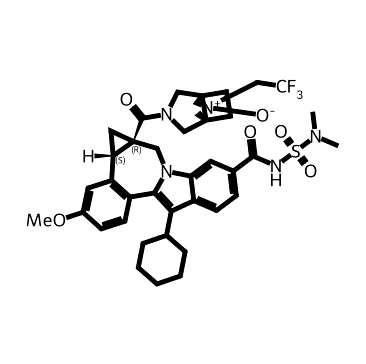 COc1ccc2c(c1)[C@@H]1C[C@]1(C(=O)N1CC34CCC3(C1)C[N+]([O-])(CC(F)(F)F)C4)Cn1c-2c(C2CCCCC2)c2ccc(C(=O)NS(=O)(=O)N(C)C)cc21